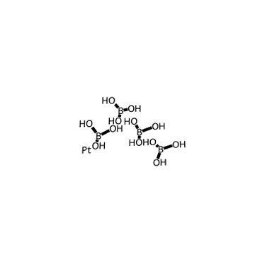 OB(O)O.OB(O)O.OB(O)O.OB(O)O.[Pt]